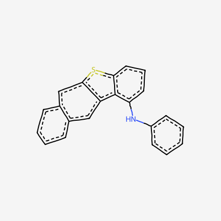 c1ccc(Nc2cccc3sc4cc5ccccc5cc4c23)cc1